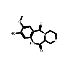 COc1cc2c(cc1O)NC(=O)C1COCCN1C2=O